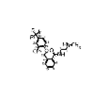 CNCCNC(=O)c1ccccc1COc1ccc(C(F)(F)F)cc1Cl